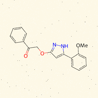 COc1ccccc1-c1cc(OCC(=O)c2ccccc2)n[nH]1